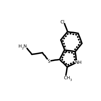 Cc1[nH]c2ccc(Cl)cc2c1SCCN